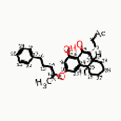 CC(=O)CC[C@H]1C(=O)c2c(O)cc(OC(C)CCCc3ccccc3)cc2[C@H]2CCCC[C@H]21